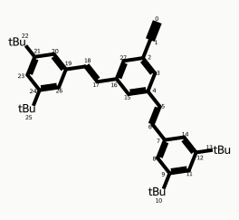 C#Cc1cc(C=Cc2cc(C(C)(C)C)cc(C(C)(C)C)c2)cc(C=Cc2cc(C(C)(C)C)cc(C(C)(C)C)c2)c1